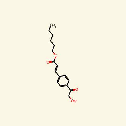 CCCCCCOC(=O)C=Cc1ccc(C(=O)CO)cc1